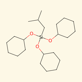 CC(C)C[Si](OC1CCCCC1)(OC1CCCCC1)OC1CCCCC1